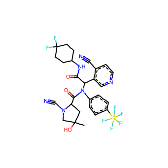 CC1(O)CC(C(=O)N(c2ccc(S(F)(F)(F)(F)F)cc2)C(C(=O)NC2CCC(F)(F)CC2)c2cnccc2C#N)N(C#N)C1